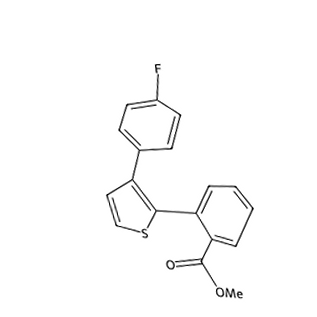 COC(=O)c1ccccc1-c1sccc1-c1ccc(F)cc1